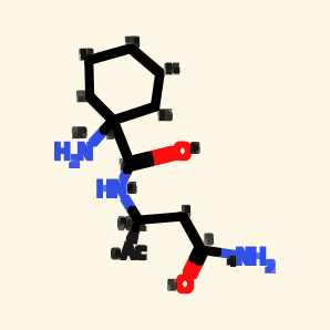 CC(=O)[C@H](CC(N)=O)NC(=O)C1(N)CCCCC1